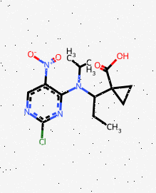 CCC(N(c1nc(Cl)ncc1[N+](=O)[O-])C(C)C)C1(C(=O)O)CC1